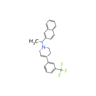 CC(c1ccc2ccccc2c1)N1CC=C(c2cccc(C(F)(F)F)c2)CC1